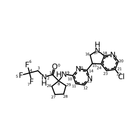 O=C(NCC(F)(F)F)C1(Nc2ccnc(C3CNc4ncc(Cl)cc43)n2)CCCC1